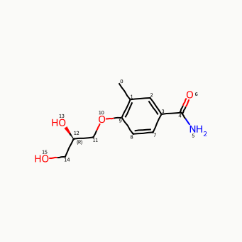 Cc1cc(C(N)=O)ccc1OC[C@H](O)CO